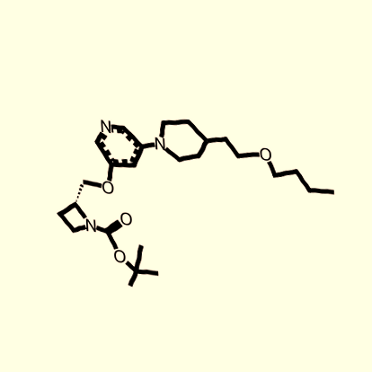 CCCCOCCC1CCN(c2cncc(OC[C@H]3CCN3C(=O)OC(C)(C)C)c2)CC1